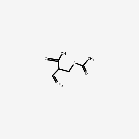 C=CC(CSC(C)=O)C(=O)O